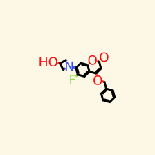 O=c1cc(OCc2ccccc2)c2cc(F)c(N3CC(O)C3)cc2o1